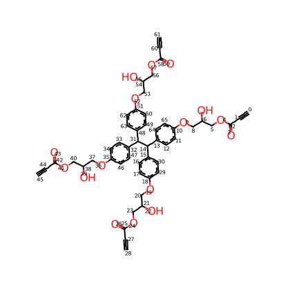 C#CC(=O)OCC(O)COc1ccc(C(c2ccc(OCC(O)COC(=O)C#C)cc2)C(c2ccc(OCC(O)COC(=O)C#C)cc2)c2ccc(OCC(O)COC(=O)C#C)cc2)cc1